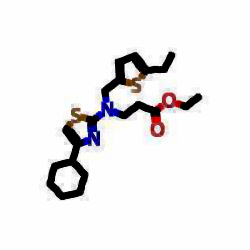 CCOC(=O)CCN(Cc1ccc(CC)s1)c1nc(C2CCCCC2)cs1